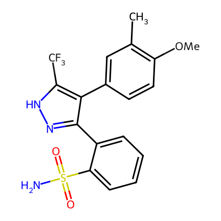 COc1ccc(-c2c(-c3ccccc3S(N)(=O)=O)n[nH]c2C(F)(F)F)cc1C